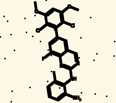 COc1cc(OC)c(Cl)c(-c2cc(F)c3nc(Nc4c(C)cccc4N)ncc3c2)c1Cl